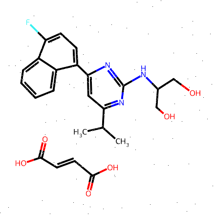 CC(C)c1cc(-c2ccc(F)c3ccccc23)nc(NC(CO)CO)n1.O=C(O)C=CC(=O)O